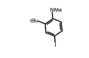 CNc1ccc(I)cc1C(C)(C)C